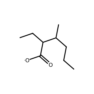 CCCC(C)C(CC)C([O])=O